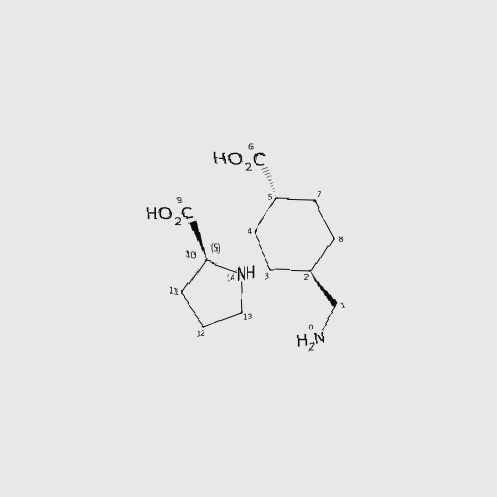 NC[C@H]1CC[C@H](C(=O)O)CC1.O=C(O)[C@@H]1CCCN1